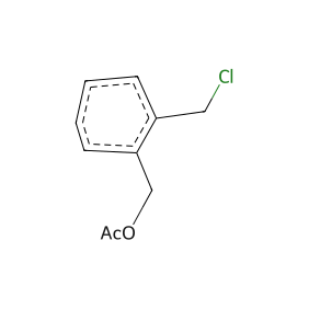 CC(=O)OCc1ccccc1CCl